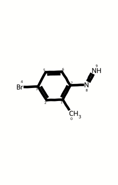 Cc1cc(Br)ccc1N=N